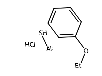 CCOc1ccccc1.Cl.[Al][SH]